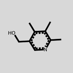 Cc1ncc(CO)c(C)c1C